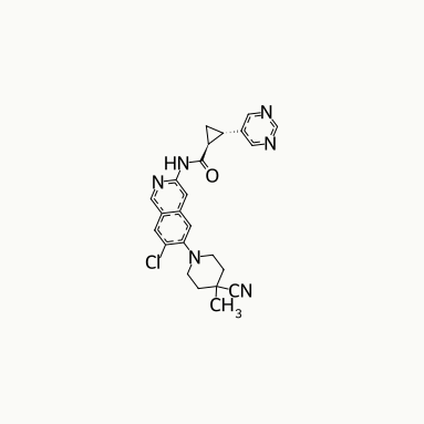 CC1(C#N)CCN(c2cc3cc(NC(=O)[C@H]4C[C@@H]4c4cncnc4)ncc3cc2Cl)CC1